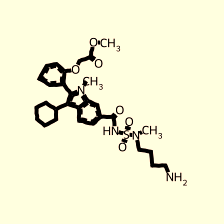 COC(=O)COc1ccccc1-c1c(C2CCCCC2)c2ccc(C(=O)NS(=O)(=O)N(C)CCCCN)cc2n1C